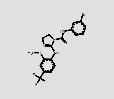 CSc1cc(C(F)(F)F)ccc1NC1=NCCN1C(=S)Nc1cccc(Br)c1